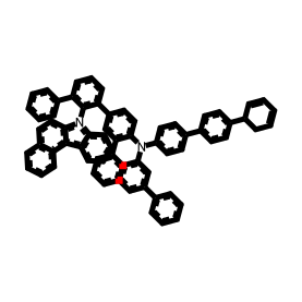 C1=CCC(c2ccc(-c3ccc(N(c4cccc(-c5ccccc5)c4)c4ccc(-c5cccc(-c6ccccc6)c5-n5c6ccccc6c6c7ccccc7ccc65)cc4-c4ccccc4)cc3)cc2)C=C1